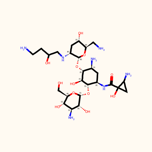 NCCC(O)CN[C@@H]1C[C@H](O)[C@@H](CN)O[C@@H]1O[C@H]1[C@H](O)[C@@H](O[C@H]2O[C@H](CO)[C@@H](O)[C@H](N)[C@H]2O)[C@H](NC(=O)C2(O)CC2N)C[C@@H]1N